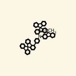 CC1(C)c2ccccc2-c2ccc(N(c3ccc(-c4cccc5c4-c4ccccc4C54c5ccccc5-c5ccccc54)cc3)c3cccc4c3-c3ccccc3C43c4ccccc4-c4ccccc43)cc21